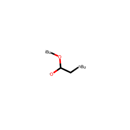 CCCCCC([O])OC(C)CC